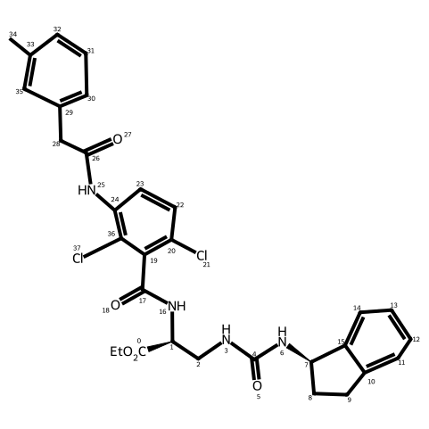 CCOC(=O)[C@H](CNC(=O)N[C@@H]1CCc2ccccc21)NC(=O)c1c(Cl)ccc(NC(=O)Cc2cccc(C)c2)c1Cl